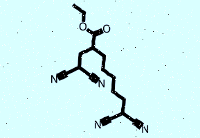 CCOC(=O)C(CCCCCC(C#N)C#N)CC(C#N)C#N